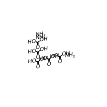 N.N.N.O=C(O)O.O=C(O)O.O=C(O)O.O=C(O)O.O=C(O)O